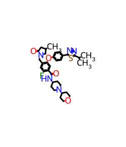 CC1CC(=O)N(Cc2cc(F)c(C(=O)NC3CCN(C4CCOCC4)CC3)cc2Oc2ccc(-c3nnc(C(C)C)s3)cc2)C1